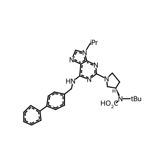 CC(C)n1cnc2c(NCc3ccc(-c4ccccc4)cc3)nc(N3CC[C@@H](N(C(=O)O)C(C)(C)C)C3)nc21